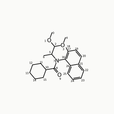 COC(OC)C(C)N(C(=O)C1CCCCC1)c1c(C)ccc2ccccc12